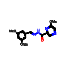 COc1cc(/C=N/NC(=O)c2cncc(OC)n2)cc(OC)c1